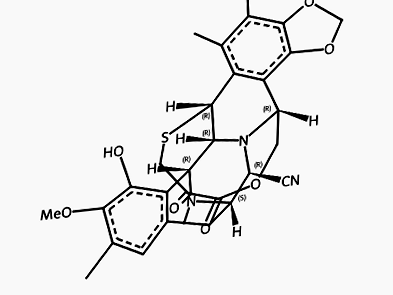 COc1c(C)cc2c(c1O)[C@@H]1[C@@H]3[C@@H]4SCC(=O)C(=O)OC[C@@H](c5c6c(c(C)c(C)c54)OCO6)N3[C@@H](C#N)[C@H](C2)N1C